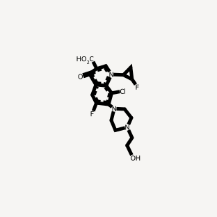 O=C(O)c1cn(C2CC2F)c2c(Cl)c(N3CCN(CCO)CC3)c(F)cc2c1=O